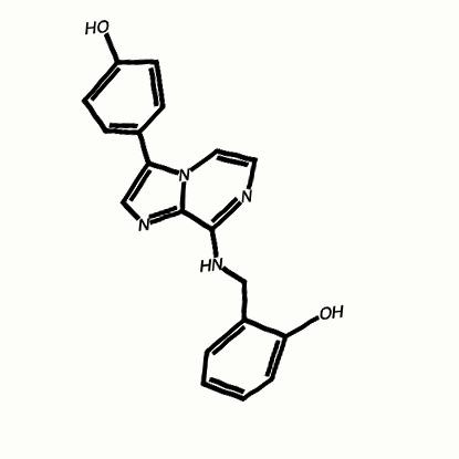 Oc1ccc(-c2cnc3c(NCc4ccccc4O)nccn23)cc1